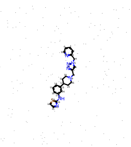 c1ccc(Cn2cc(CN3CCC(c4cccc(Nc5nccs5)c4)CC3)nn2)nc1